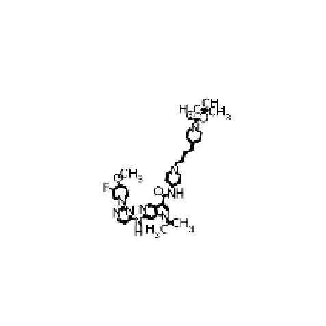 CO[C@H]1CCN(c2nccc(Nc3cc4c(cn3)c(C(=O)NC3CCN(CCCCC5CCN(C(=O)OC(C)(C)C)CC5)CC3)cn4C(C)C)n2)C[C@H]1F